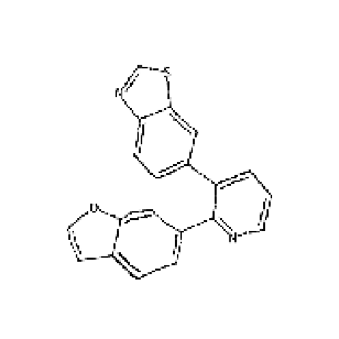 c1cnc(-c2ccc3ccoc3c2)c(-c2ccc3ncsc3c2)c1